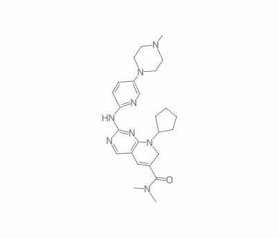 CN1CCN(c2ccc(Nc3ncc4c(n3)N(C3CCCC3)CC(C(=O)N(C)C)=C4)nc2)CC1